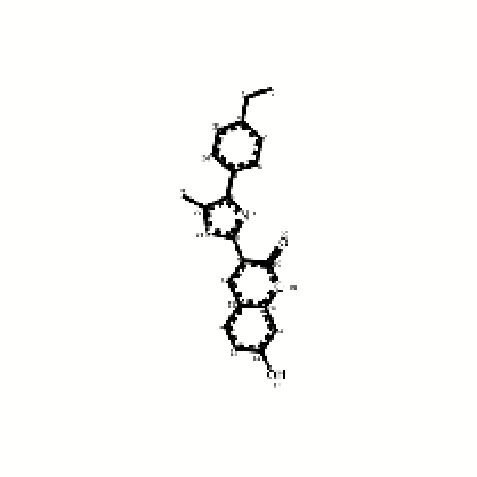 CCc1ccc(-c2nc(-c3cc4ccc(O)cc4oc3=O)sc2C)cc1